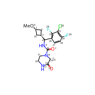 CO[C@H]1C[C@@H](C(NC(=O)N2CCNC(=O)[C@H]2C)c2ccc(F)c(Cl)c2F)C1